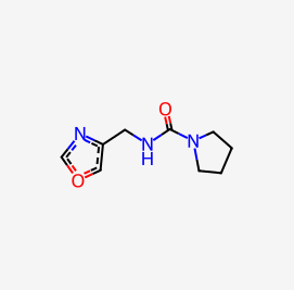 O=C(NCc1cocn1)N1CCCC1